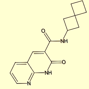 O=C(NC1CC2(CCC2)C1)c1cc2cccnc2[nH]c1=O